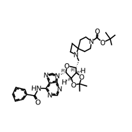 CC(C)(C)OC(=O)N1CCC2(CC1)CCN2C[C@H]1O[C@@H](n2cnc3c(NC(=O)c4ccccc4)ncnc32)[C@@H]2OC(C)(C)O[C@@H]21